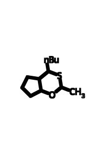 CCCCC1SC(C)OC2CCCC21